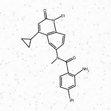 CCn1c(=O)cc(C2CC2)c2cc(N(C)C(=O)c3ccc(C(C)C)cc3N)ccc21